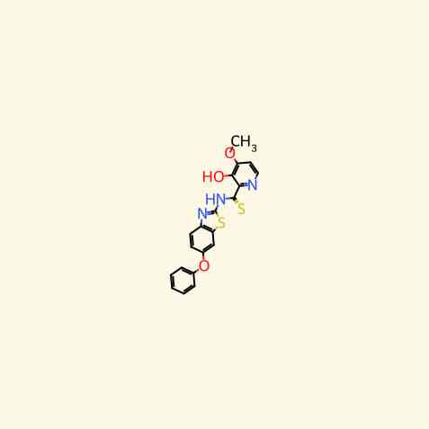 COc1ccnc(C(=S)Nc2nc3ccc(Oc4ccccc4)cc3s2)c1O